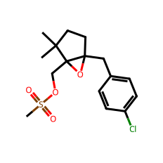 CC1(C)CCC2(Cc3ccc(Cl)cc3)OC12COS(C)(=O)=O